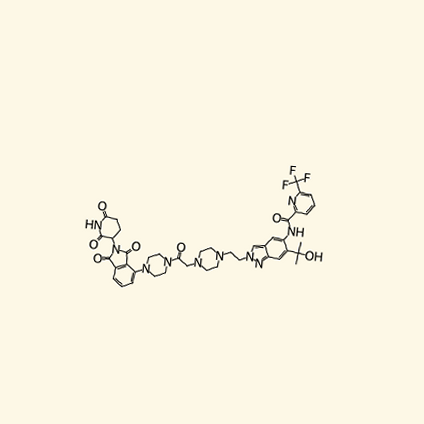 CC(C)(O)c1cc2nn(CCN3CCN(CC(=O)N4CCN(c5cccc6c5C(=O)N(C5CCC(=O)NC5=O)C6=O)CC4)CC3)cc2cc1NC(=O)c1cccc(C(F)(F)F)n1